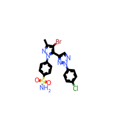 Cc1nn(-c2ccc(S(N)(=O)=O)cc2)c(-c2cnn(-c3ccc(Cl)cc3)n2)c1Br